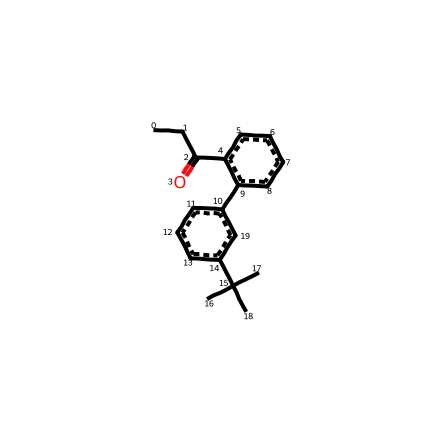 CCC(=O)c1ccccc1-c1cccc(C(C)(C)C)c1